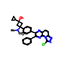 CC(C)(C)N(C(=O)O)[C@]1(c2ccc(-c3nc4ccc5nnc(Cl)n5c4nc3-c3ccccc3)cc2)C[C@@](O)(C2CC2)C1